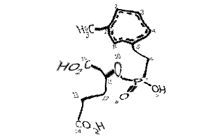 Cc1cccc(CP(=O)(O)OC(CCC(=O)O)C(=O)O)c1